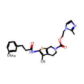 COc1cccc(CCC(=O)Nc2sc3c(c2C#N)CCN(C(=O)OCCn2ccnc2C)C3)c1